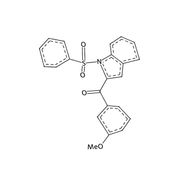 COc1cccc(C(=O)c2cc3ccccc3n2S(=O)(=O)c2ccccc2)c1